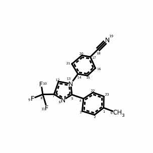 Cc1ccc(-c2nc(C(F)(F)F)cn2-c2ccc(C#N)cc2)cc1